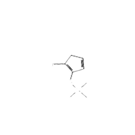 [Li][C]1=C(O[Si](C)(C)C)C=CC1